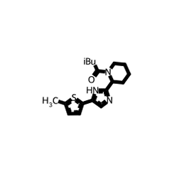 CCC(C)C(=O)N1CCCCC1c1ncc(-c2ccc(C)s2)[nH]1